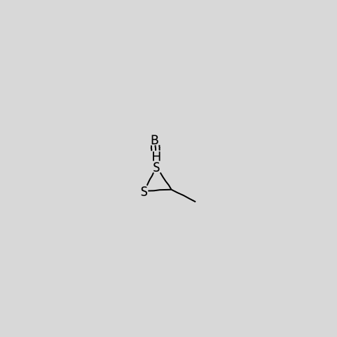 B#[SH]1SC1C